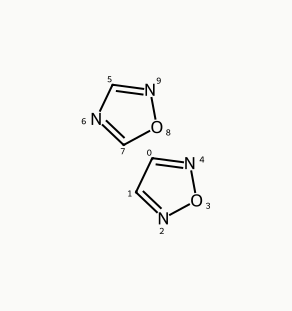 c1cnon1.c1ncon1